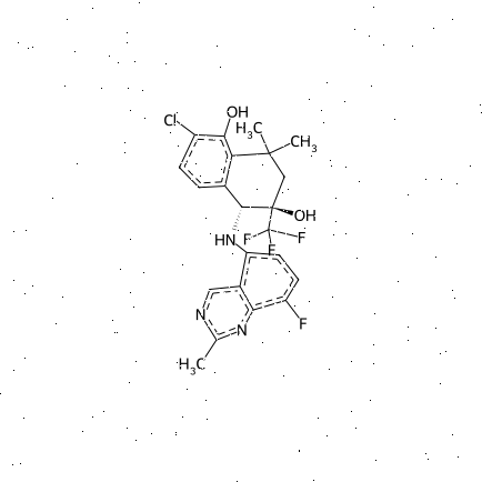 Cc1ncc2c(N[C@@H]3c4ccc(Cl)c(O)c4C(C)(C)C[C@]3(O)C(F)(F)F)ccc(F)c2n1